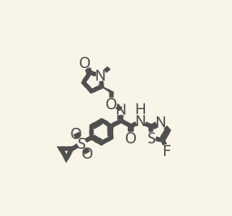 CN1C(=O)CC[C@@H]1CO/N=C(/C(=O)Nc1ncc(F)s1)c1ccc(S(=O)(=O)C2CC2)cc1